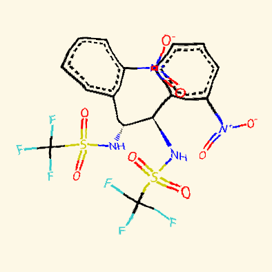 O=[N+]([O-])c1ccccc1[C@@H](NS(=O)(=O)C(F)(F)F)[C@H](NS(=O)(=O)C(F)(F)F)c1ccccc1[N+](=O)[O-]